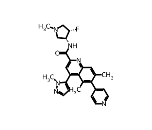 Cc1cc2nc(C(=O)N[C@@H]3CN(C)C[C@@H]3F)cc(-c3ccnn3C)c2c(C)c1-c1ccncc1